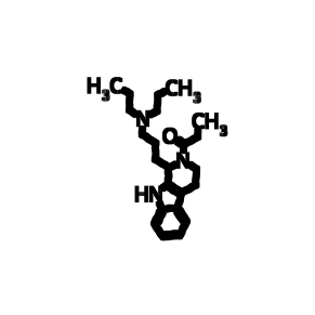 CCCN(CCC)CCCC1c2[nH]c3ccccc3c2CCN1C(=O)CC